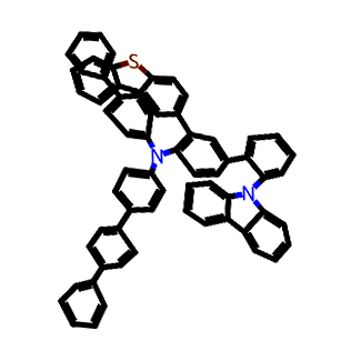 c1ccc(-c2ccc(-c3ccc(N(c4ccc(-c5ccccc5)cc4)c4ccc(-c5ccccc5-n5c6ccccc6c6ccccc65)cc4-c4ccc5sc6ccccc6c5c4)cc3)cc2)cc1